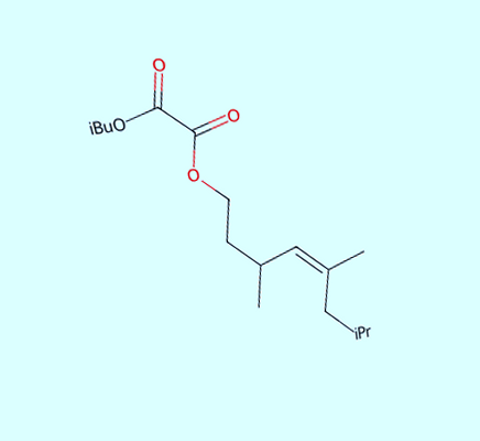 CC(=CC(C)CCOC(=O)C(=O)OCC(C)C)CC(C)C